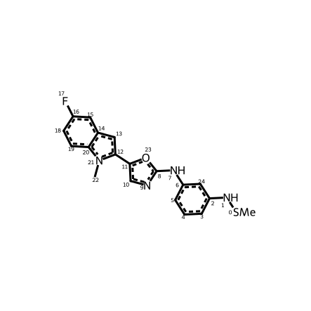 CSNc1cccc(Nc2ncc(-c3cc4cc(F)ccc4n3C)o2)c1